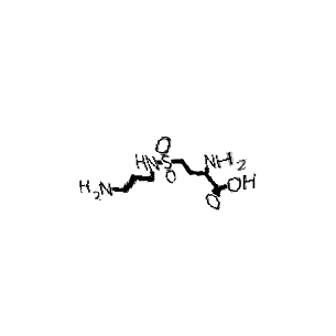 NCCCNS(=O)(=O)CCC(N)C(=O)O